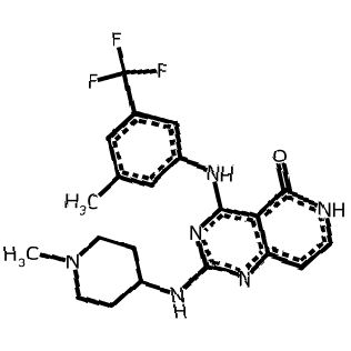 Cc1cc(Nc2nc(NC3CCN(C)CC3)nc3cc[nH]c(=O)c23)cc(C(F)(F)F)c1